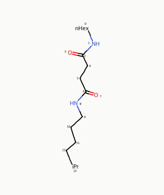 CCCCCCNC(=O)CCC(=O)NCCCCC(C)C